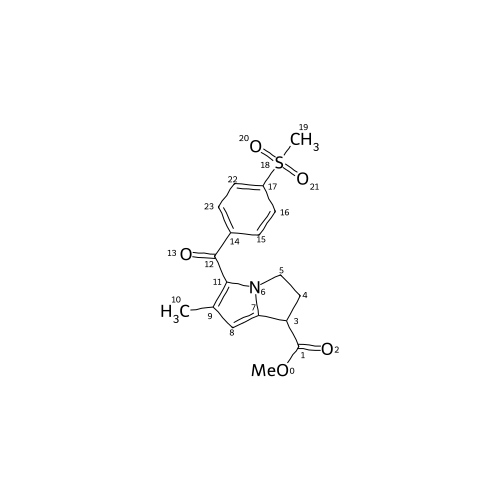 COC(=O)C1CCn2c1cc(C)c2C(=O)c1ccc(S(C)(=O)=O)cc1